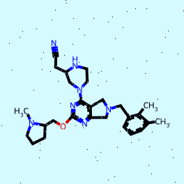 Cc1cccc(CN2Cc3nc(OCC4CCCN4C)nc(N4CCNC(CC#N)C4)c3C2)c1C